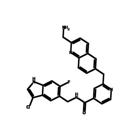 NCc1ccc2cc(Cc3cc(C(=O)NCc4cc5c(Cl)c[nH]c5cc4F)ccn3)ccc2n1